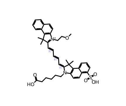 COCC[N+]1=C(/C=C/C=C/C=C2/N(CCCCCC(=O)O)c3ccc4c(S(=O)(=O)O)cccc4c3C2(C)C)C(C)(C)c2c1ccc1ccccc21